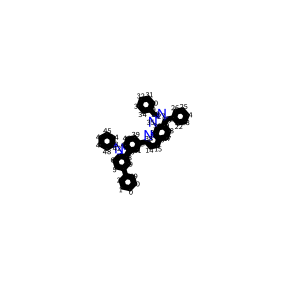 c1ccc(-c2ccc3c(c2)c2cc(-c4ccc5ccc6c(-c7ccccc7)nc(-c7ccccc7)nc6c5n4)ccc2n3-c2ccccc2)cc1